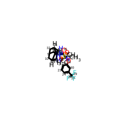 CN(C)S(=O)(=O)N[C@@]12CC3C[C@H](C1)[C@H](NC(=O)C(C)(C)Oc1cccc(C(F)(F)F)c1)[C@@H](C3)C2